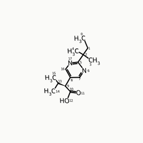 CCC(C)(C)c1ncc([C@@H](C(=O)O)C(C)C)cn1